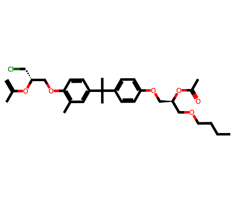 C=C(C)O[C@H](CCl)COc1ccc(C(C)(C)c2ccc(OC[C@H](COCCCC)OC(C)=O)cc2)cc1C